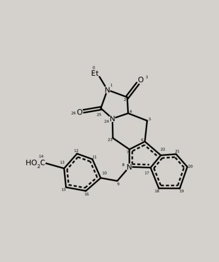 CCN1C(=O)C2Cc3c(n(Cc4ccc(C(=O)O)cc4)c4ccccc34)CN2C1=O